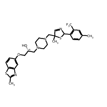 Cc1ccc(C2N=CC(C)(CN3CCN(C[C@@H](O)COc4ccc5sc(C)nc5c4)CC3)S2)c(C(F)(F)F)c1